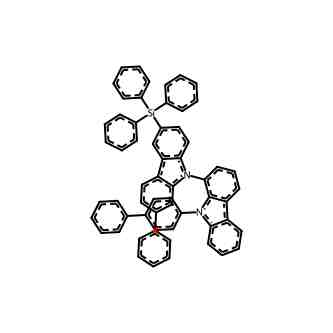 c1ccc(-c2ccc(-n3c4ccccc4c4cccc(-n5c6ccc([Si](c7ccccc7)(c7ccccc7)c7ccccc7)cc6c6ccc(-c7ccccc7)cc65)c43)cc2)cc1